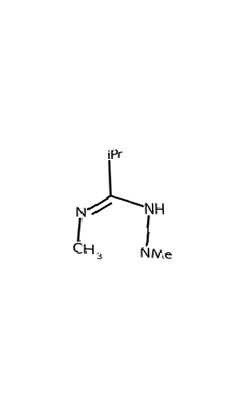 C/N=C(\NNC)C(C)C